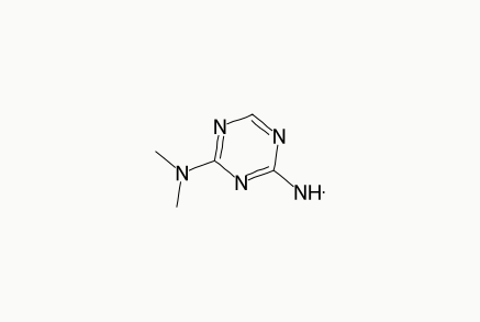 CN(C)c1ncnc([NH])n1